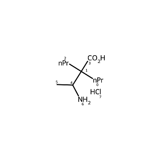 CCCC(CCC)(C(=O)O)C(C)N.Cl